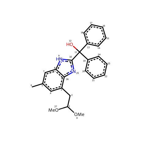 COC(Cc1cc(C)cc2[nH]c(C(O)(c3ccccc3)c3ccccc3)nc12)OC